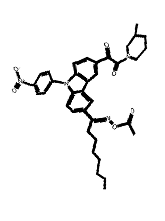 CCCCCCCC(=NOC(C)=O)c1ccc2c(c1)c1cc(C(=O)C(=O)N3CCCC(C)C3)ccc1n2-c1ccc([N+](=O)[O-])cc1